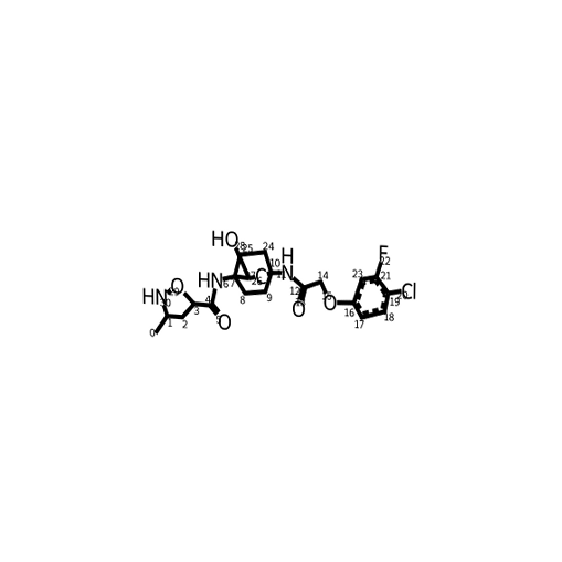 CC1CC(C(=O)NC23CCC(NC(=O)COc4ccc(Cl)c(F)c4)(CC2)CC3O)ON1